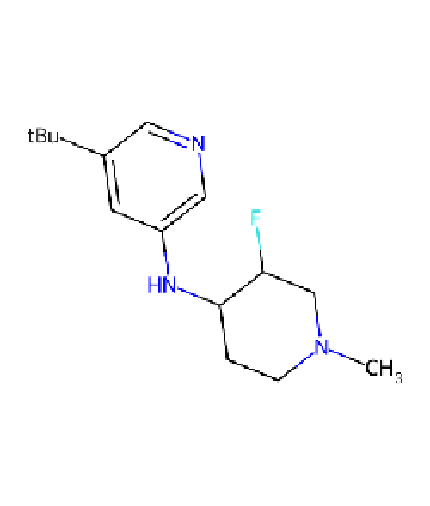 CN1CCC(Nc2cncc(C(C)(C)C)c2)C(F)C1